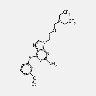 CCOc1cccc(Sc2nc(N)nc3c2ncn3CCOCP(CC(F)(F)F)CC(F)(F)F)c1